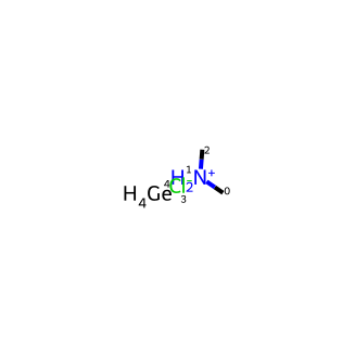 C[NH2+]C.[Cl-].[GeH4]